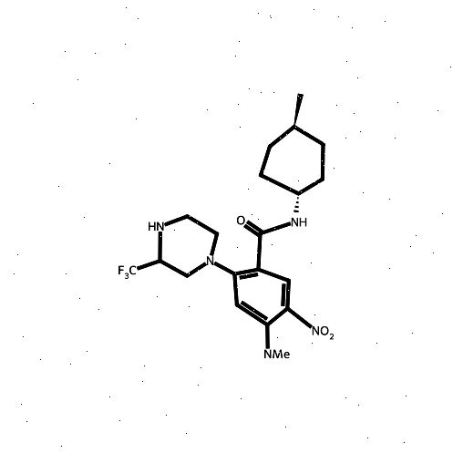 CNc1cc(N2CCNC(C(F)(F)F)C2)c(C(=O)N[C@H]2CC[C@H](C)CC2)cc1[N+](=O)[O-]